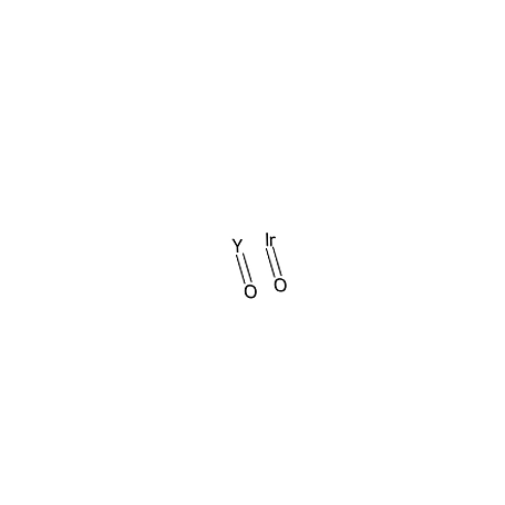 [O]=[Ir].[O]=[Y]